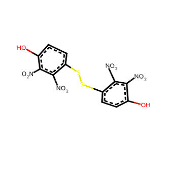 O=[N+]([O-])c1c(O)ccc(SSc2ccc(O)c([N+](=O)[O-])c2[N+](=O)[O-])c1[N+](=O)[O-]